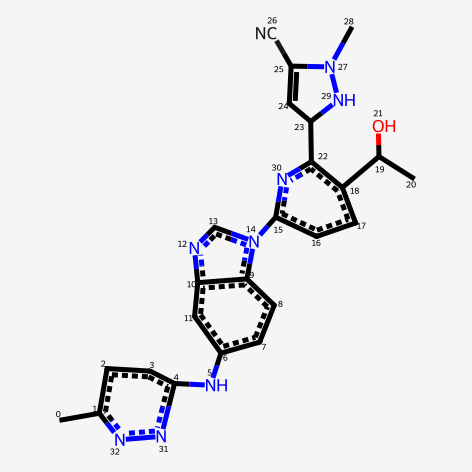 Cc1ccc(Nc2ccc3c(c2)ncn3-c2ccc(C(C)O)c(C3C=C(C#N)N(C)N3)n2)nn1